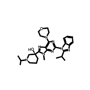 CC(C)c1nc2ccccc2n1-c1nc(N2CCOCC2)c2nc([C@]3(O)CCCN(C(C)C)C3)n(C)c2n1